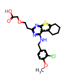 COc1ccc(CNc2nc(CCOCC(=O)O)nc3sc4c(c23)CCCC4)cc1Cl